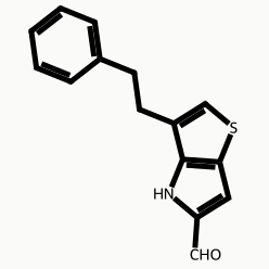 O=Cc1cc2scc(CCc3ccccc3)c2[nH]1